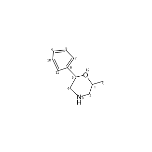 CC1CNCC(c2ccccc2)O1